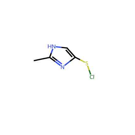 Cc1nc(SCl)c[nH]1